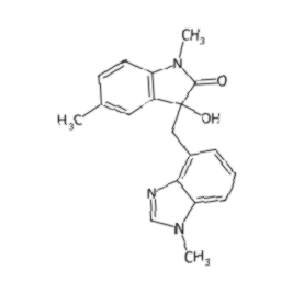 Cc1ccc2c(c1)C(O)(Cc1cccc3c1ncn3C)C(=O)N2C